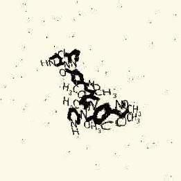 Cc1cc(C(=O)N(c2ncc(C3(C)ON=C(c4ccc(C(=O)N(c5ncccc5Cl)C5CCCNC5)cc4C)C3=O)cc2C)C2CCCNC2)ccc1C1=NOC(C)(C)C1=O